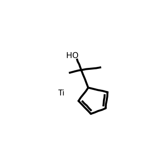 CC(C)(O)C1C=CC=C1.[Ti]